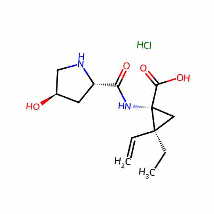 C=C[C@]1(CC)C[C@]1(NC(=O)[C@@H]1C[C@@H](O)CN1)C(=O)O.Cl